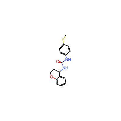 CSc1ccc(NC(=O)NC2CCOc3ccccc32)cc1